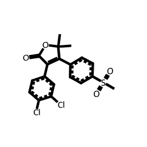 CC1(C)OC(=O)C(c2ccc(Cl)c(Cl)c2)=C1c1ccc(S(C)(=O)=O)cc1